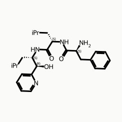 CC(C)C[C@H](NC(=O)[C@@H](N)Cc1ccccc1)C(=O)N[C@@H](CC(C)C)[C@@H](O)c1ccccn1